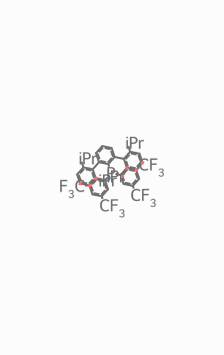 CC(C)c1cccc(C(C)C)c1-c1cccc(-c2c(C(C)C)cccc2C(C)C)c1P(c1cc(C(F)(F)F)cc(C(F)(F)F)c1)c1cc(C(F)(F)F)cc(C(F)(F)F)c1